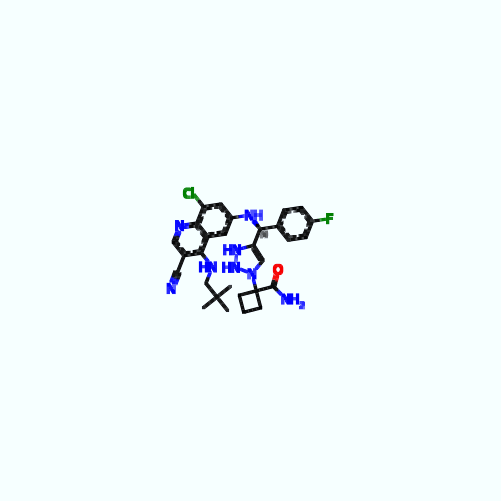 CC(C)(C)CNc1c(C#N)cnc2c(Cl)cc(N[C@H](C3=CN(C4(C(N)=O)CCC4)NN3)c3ccc(F)cc3)cc12